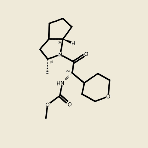 COC(=O)N[C@H](C(=O)N1[C@H](C)CC2CCC[C@@H]21)C1CCOCC1